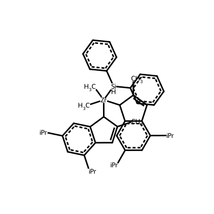 CC1=Cc2c(C(C)C)cc(C(C)C)cc2[CH]1[Zr]([CH3])([CH3])([CH]1C(C)=Cc2c(C(C)C)cc(C(C)C)cc21)[SiH](c1ccccc1)c1ccccc1